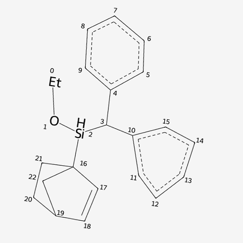 CCO[SiH](C(c1ccccc1)c1ccccc1)C12C=CC(CC1)C2